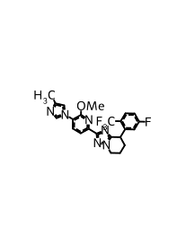 COc1nc(-c2nc3n(n2)CCCC3c2cc(F)ccc2C(F)(F)F)ccc1-n1cnc(C)c1